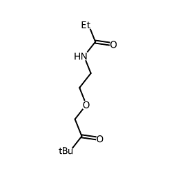 CCC(=O)NCCOCC(=O)C(C)(C)C